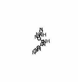 CN1CCC(Nc2ncnc3ccc(-c4c[nH]c5ncc(-c6ccc(N7CCN(C)CC7)nc6)cc45)cc23)CC1